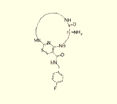 N[C@H]1CCNc2nc(ncc2C(=O)NCc2ccc(F)cc2)NCCCCCCCCNC1=O